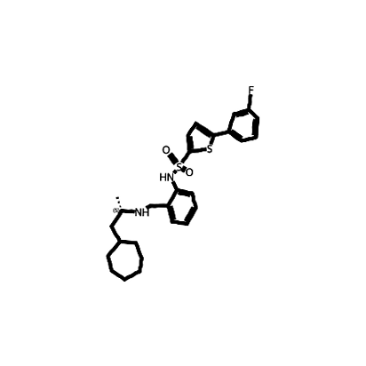 C[C@@H](CC1CCCCCC1)NCc1ccccc1NS(=O)(=O)c1ccc(-c2cccc(F)c2)s1